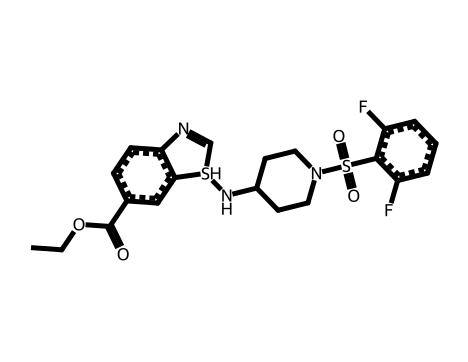 CCOC(=O)c1ccc2c(c1)[SH](NC1CCN(S(=O)(=O)c3c(F)cccc3F)CC1)C=N2